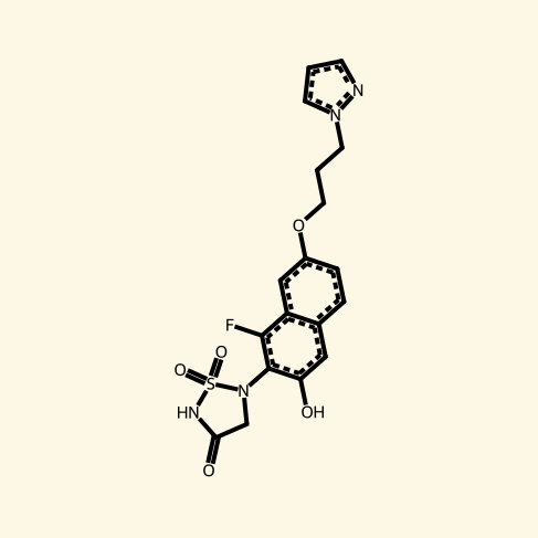 O=C1CN(c2c(O)cc3ccc(OCCCn4cccn4)cc3c2F)S(=O)(=O)N1